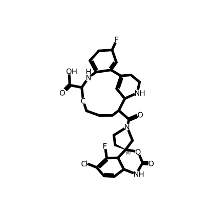 O=C1NC2C=CC(Cl)=C(F)C2[C@@]2(CCN(C(=O)C3CCCCC(C(=O)O)NC4=CCC(F)C=C4C4=CC3NCC4)C2)O1